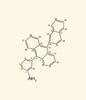 Nc1cccc(-c2c3ccccc3c(-c3ccc4ccccc4c3)c3ccccc23)c1